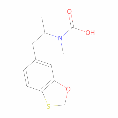 CC(Cc1ccc2c(c1)OCS2)N(C)C(=O)O